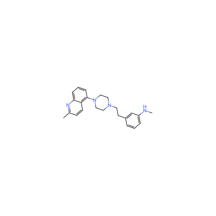 CNc1cccc(CCN2CCN(c3cccc4nc(C)ccc34)CC2)c1